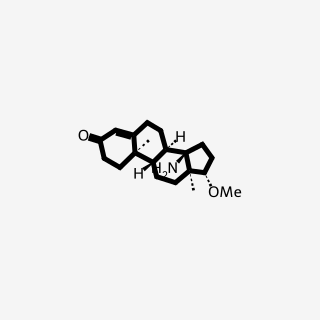 CO[C@H]1CC[C@@]2(N)[C@@H]3CCC4=CC(=O)CC[C@]4(C)[C@H]3CC[C@]12C